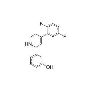 Oc1cccc(C2C=C(c3cc(F)ccc3F)CCN2)c1